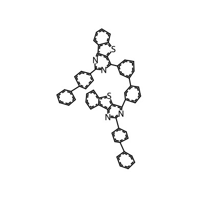 c1ccc(-c2ccc(-c3nc(-c4cccc(-c5cccc(-c6nc(-c7ccc(-c8ccccc8)cc7)nc7c6sc6ccccc67)c5)c4)c4sc5ccccc5c4n3)cc2)cc1